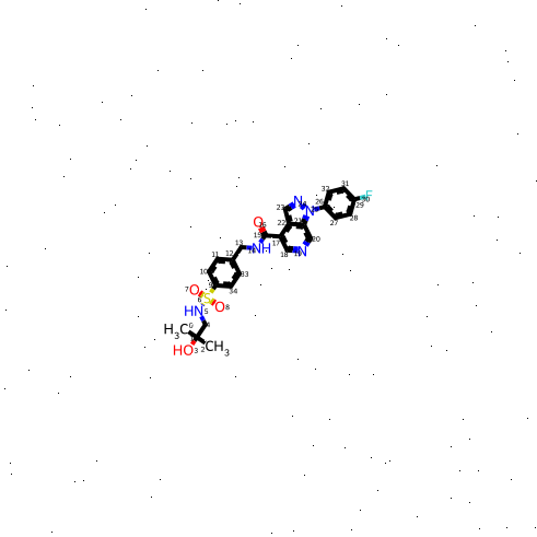 CC(C)(O)CNS(=O)(=O)c1ccc(CNC(=O)c2cncc3c2cnn3-c2ccc(F)cc2)cc1